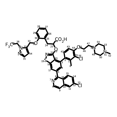 Cc1c(-c2cc(-c3nccc4cc(Cl)ccc34)cc3snc(OC(Cc4ccccc4OCc4ccnn4CC(F)(F)F)C(=O)O)c23)ccc(OCCN2CCN(C)CC2)c1Cl